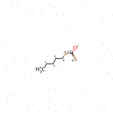 CCCCCSC([O])=S